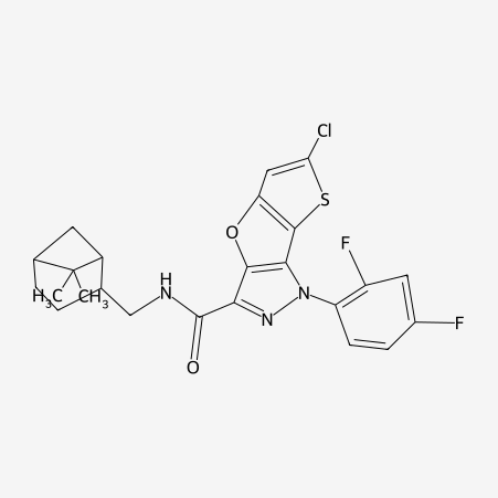 CC1(C)C2CCC(CNC(=O)c3nn(-c4ccc(F)cc4F)c4c3oc3cc(Cl)sc34)C1C2